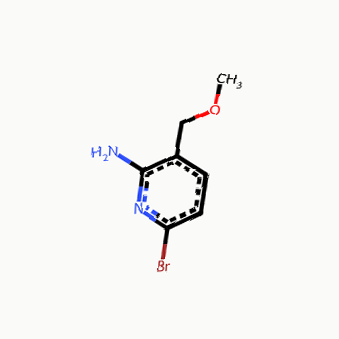 COCc1ccc(Br)nc1N